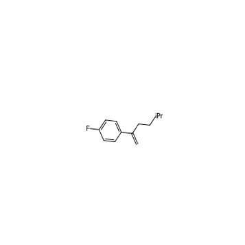 C=C(CCC(C)C)c1ccc(F)cc1